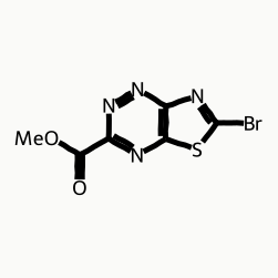 COC(=O)c1nnc2nc(Br)sc2n1